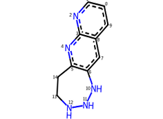 c1cnc2nc3c(cc2c1)NNNCC3